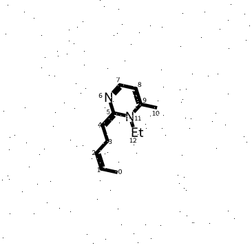 C/C=C\C/C=C1/N=CC=C(C)N1CC